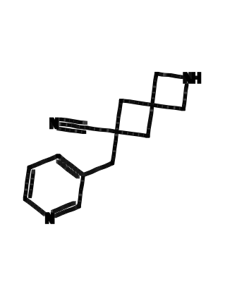 N#CC1(Cc2cccnc2)CC2(CNC2)C1